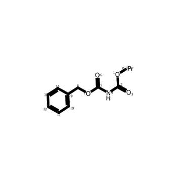 CC(C)OC(=O)NC(=O)OCc1ccccc1